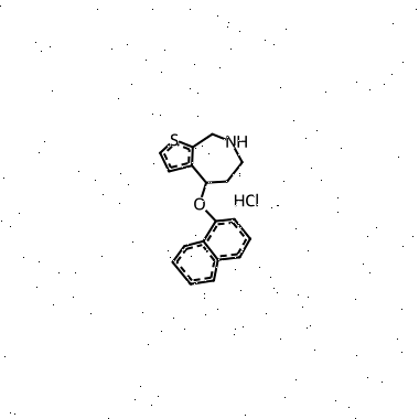 Cl.c1ccc2c(OC3CCNCc4sccc43)cccc2c1